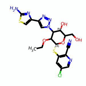 CCOC1C(n2cc(-c3csc(N)n3)nn2)[C@@H](O)C(CO)O[C@@H]1Sc1cc(Cl)cnc1C#N